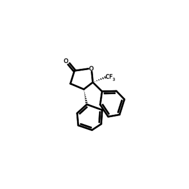 O=C1C[C@@H](c2ccccc2)[C@@](c2ccccc2)(C(F)(F)F)O1